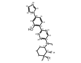 CC[C@@]1(C)CCC[C@@H](N(C)c2cnc(-c3ccc(-n4ccnc4)cc3O)nn2)[C@H]1F